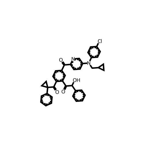 O=C(c1ccc(C(=O)C2(c3ccccc3)CC2)c(C(=O)C(O)c2ccccc2)c1)c1ccc(N(CC2CC2)c2ccc(Cl)cc2)cn1